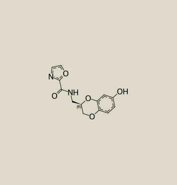 O=C(NC[C@@H]1COc2ccc(O)cc2O1)c1ncco1